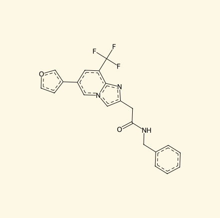 O=C(Cc1cn2cc(-c3ccoc3)cc(C(F)(F)F)c2n1)NCc1ccccc1